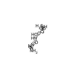 CNS(=O)(=O)c1cccc(OCC(O)CNC2COC3(CCN(c4nccc(N)n4)CC3)C2)c1